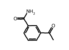 CC(=O)c1cccc(C(N)=O)c1